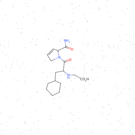 NC(=O)C1C=CCN1C(=O)C(CC1CCCCC1)NCC(=O)O